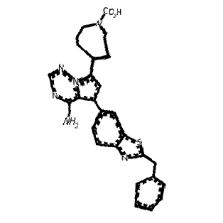 Nc1ncnn2c(C3CCN(C(=O)O)CC3)cc(-c3ccc4nc(Cc5ccccc5)sc4c3)c12